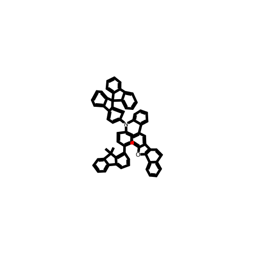 CC1(C)c2ccccc2-c2cccc(-c3ccc(N(c4ccc5c(c4)C4(c6ccccc6-c6ccccc64)c4ccccc4-5)c4ccccc4-c4ccc5oc6c7ccccc7ccc6c5c4)cc3)c21